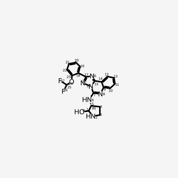 OC1NCC[C@H]1Nc1nc2ccccc2c2nc(-c3ccccc3OC(F)F)nn12